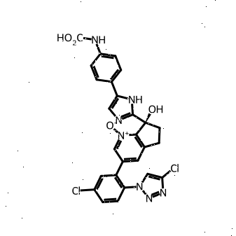 O=C(O)Nc1ccc(-c2cnc([C@]3(O)CCc4cc(-c5cc(Cl)ccc5-n5cc(Cl)nn5)c[n+]([O-])c43)[nH]2)cc1